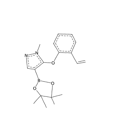 C=Cc1ccccc1Oc1c(B2OC(C)(C)C(C)(C)O2)cnn1C